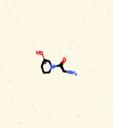 NCC(=O)N1CCC[C@H](O)C1